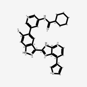 O=C(Nc1cncc(-c2cc3c(-c4nc5c(-c6ccoc6)ccnc5[nH]4)n[nH]c3cc2F)c1)C1CCCCC1